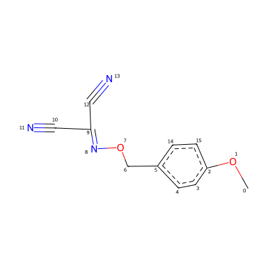 COc1ccc(CON=C(C#N)C#N)cc1